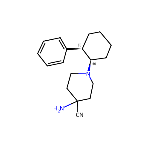 N#CC1(N)CCN([C@@H]2CCCC[C@@H]2c2ccccc2)CC1